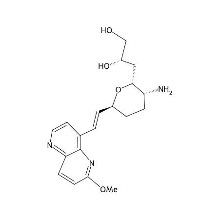 COc1ccc2nccc(C=C[C@@H]3CC[C@@H](N)[C@@H](C[C@H](O)CO)O3)c2n1